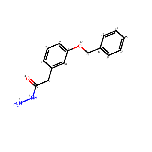 NNC(=O)Cc1cccc(OCc2ccccc2)c1